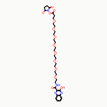 O=C(CCOCCOCCOCCOCCOCCOCCOCCOCCNC(=O)c1nc2ccccc2nc1O)ON1C(=O)CCC1=O